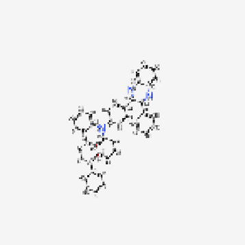 c1ccc(-c2ccc(-c3ccccc3N(c3ccccc3)c3ccc(-c4nc5ccccc5nc4-c4ccccc4)cc3)cc2)cc1